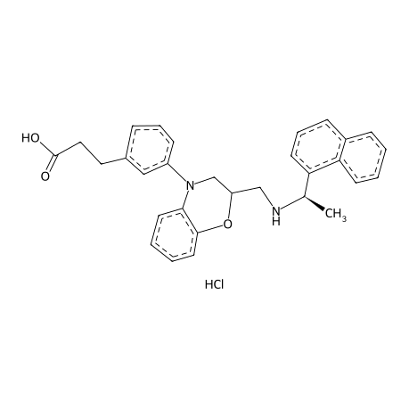 C[C@@H](NCC1CN(c2cccc(CCC(=O)O)c2)c2ccccc2O1)c1cccc2ccccc12.Cl